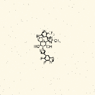 Cc1nc([C@@H]2O[C@H](CO)[C@H](O)[C@H](n3cc(-c4cc5scnc5c(F)c4F)cn3)[C@H]2O)n(-c2cc(Br)cnc2C(F)(F)F)n1